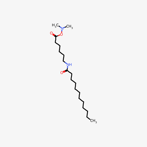 CCCCCCCCCCCC(=O)NCCCCCC(=O)ON(C)C